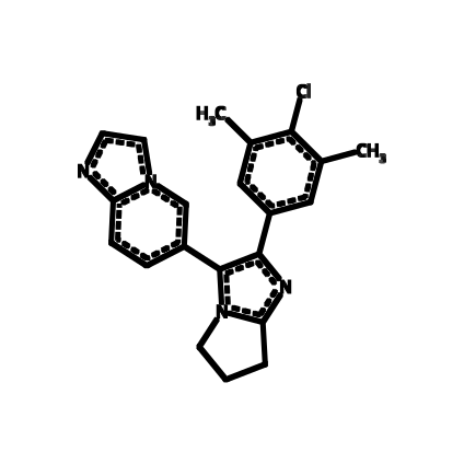 Cc1cc(-c2nc3n(c2-c2ccc4nccn4c2)CCC3)cc(C)c1Cl